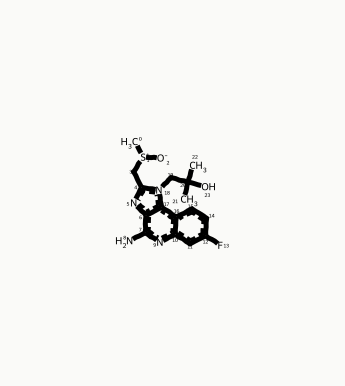 C[S+]([O-])Cc1nc2c(N)nc3cc(F)ccc3c2n1CC(C)(C)O